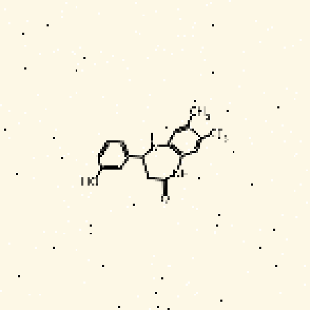 Cc1cc2c(cc1C(F)(F)F)NC(=O)CC(c1cccc(O)c1)N2